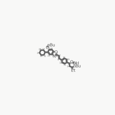 CCCCOc1cc2oc(C=Cc3ccc(C(CC(CC)CCCC)OO)cc3)nc2cc1C1CCCCC1